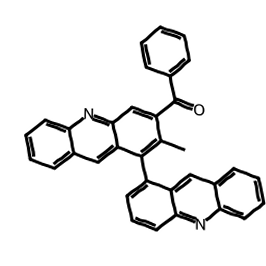 Cc1c(C(=O)c2ccccc2)cc2nc3ccccc3cc2c1-c1cccc2nc3ccccc3cc12